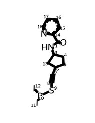 O=C(NC1CCC(C#CSP(I)I)C1)c1ccccn1